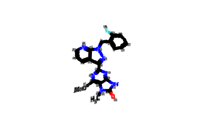 COc1nc(-c2nn(Cc3ccccc3F)c3ncccc23)nc2[nH]c(=O)n(C)c12